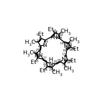 CCC1=C(C)c2nc1c1[nH]c(c(C)c1CC)c1[nH]c(c3nc(c4[nH]c(c(CC)c4C)c4[nH]c2c(C)c4CC)C(C)=C3CC)c(CC)c1C